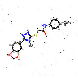 CCn1c(SCC(=O)Nc2ccc(OC)cc2)nnc1-c1ccc2c(c1)OCO2